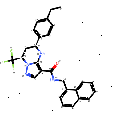 CCc1ccc([C@@H]2C[C@H](C(F)(F)F)n3ncc(C(=O)NCc4cccc5ccccc45)c3N2)cc1